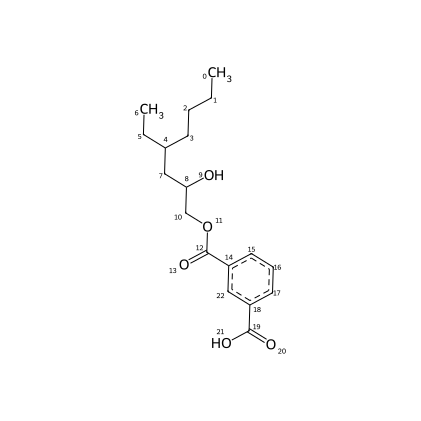 CCCCC(CC)CC(O)COC(=O)c1cccc(C(=O)O)c1